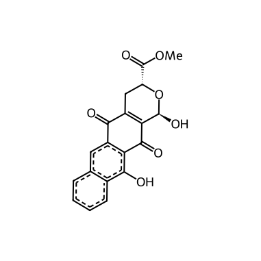 COC(=O)[C@H]1CC2=C(C(=O)c3c(cc4ccccc4c3O)C2=O)[C@H](O)O1